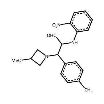 COC1CN(C(c2ccc(C)cc2)C(C=O)Nc2ccccc2[N+](=O)[O-])C1